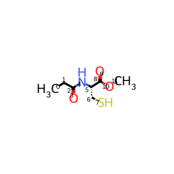 CCC(=O)N[C@@H](CS)C(=O)OC